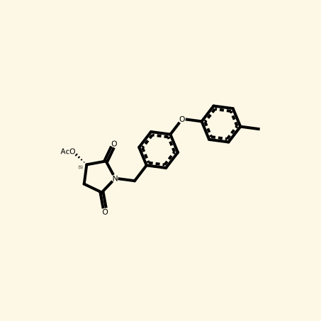 CC(=O)O[C@H]1CC(=O)N(Cc2ccc(Oc3ccc(C)cc3)cc2)C1=O